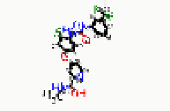 CNC(O)c1cc(Oc2ccc(NC(=O)Nc3cccc(C(F)(F)F)c3)c(F)c2)ccn1